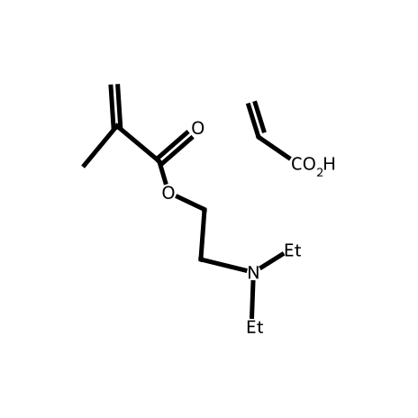 C=C(C)C(=O)OCCN(CC)CC.C=CC(=O)O